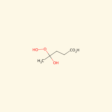 CC(O)(CCC(=O)O)OO